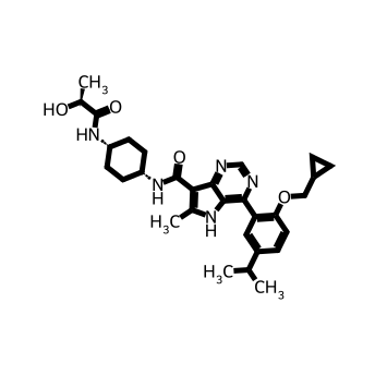 Cc1[nH]c2c(-c3cc(C(C)C)ccc3OCC3CC3)ncnc2c1C(=O)N[C@H]1CC[C@@H](NC(=O)[C@H](C)O)CC1